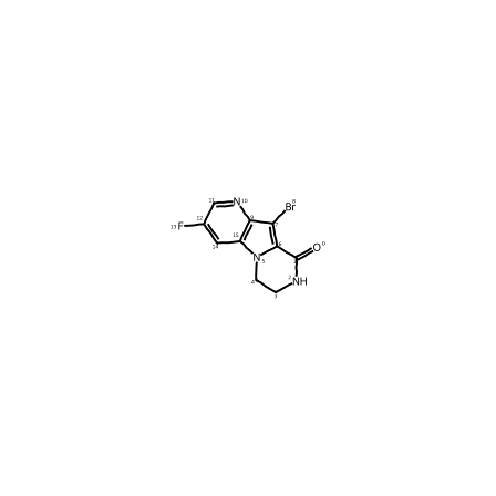 O=C1NCCn2c1c(Br)c1ncc(F)cc12